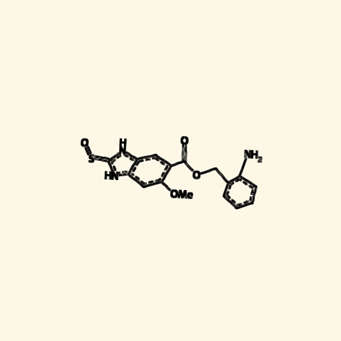 COc1cc2[nH]c(=S=O)[nH]c2cc1C(=O)OCc1ccccc1N